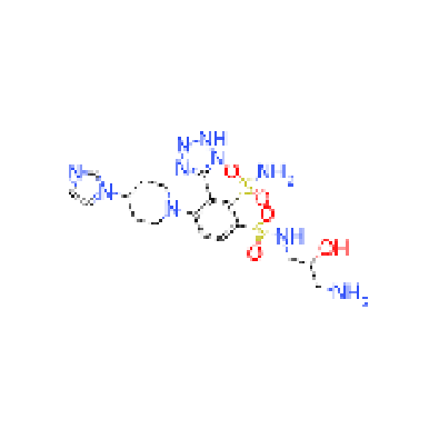 NCC(O)CNS(=O)(=O)c1ccc(N2CCC(n3ccnc3)CC2)c(-c2nn[nH]n2)c1S(N)(=O)=O